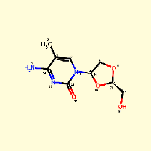 Cc1cn([C@H]2CO[C@@H](CO)O2)c(=O)nc1N